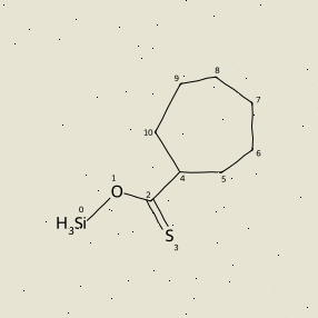 [SiH3]OC(=S)C1CCCCCC1